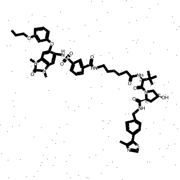 CCCOc1cccc(Oc2cc3c(cc2NS(=O)(=O)c2cccc(C(=O)NCCCCCC(=O)N[C@H](C(=O)N4C[C@H](O)C[C@H]4C(=O)NCc4ccc(-c5scnc5C)cc4)C(C)(C)C)c2)n(C)c(=O)n3C)c1